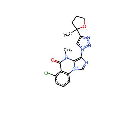 CN1C(=O)c2c(Cl)cccc2[N+]2C=NC(n3cc(C4(C)CCCO4)nn3)=C12